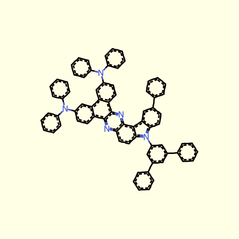 c1ccc(-c2cc(-c3ccccc3)cc(-n3c4ccc(-c5ccccc5)cc4c4c5nc6c7ccc(N(c8ccccc8)c8ccccc8)cc7c7cc(N(c8ccccc8)c8ccccc8)ccc7c6nc5ccc43)c2)cc1